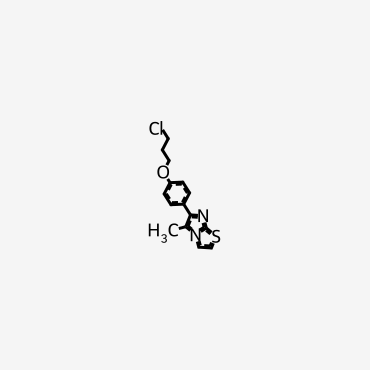 Cc1c(-c2ccc(OCCCCl)cc2)nc2sccn12